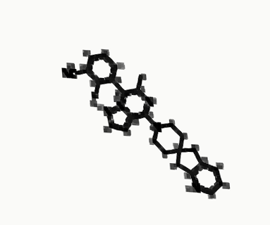 Cc1nc(N2CCC3(CC2)Cc2cccnc2C3)c2ccnn2c1-c1cccc(C#N)c1F